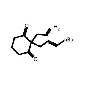 C=CCC1(CC=CCCCC)C(=O)CCCC1=O